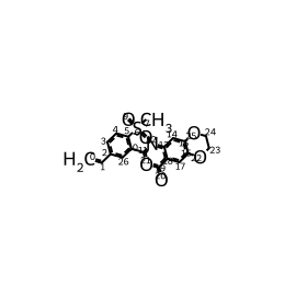 C=Cc1ccc(S(C)(=O)=O)c(-c2nc3cc4c(cc3c(=O)o2)OCCO4)c1